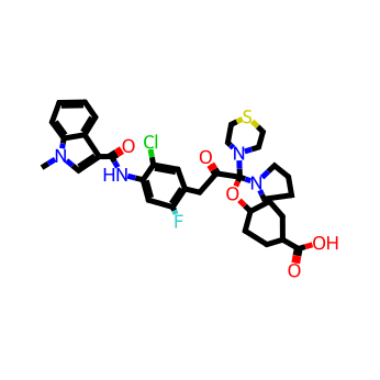 Cn1cc(C(=O)Nc2cc(F)c(CC(=O)C(OC3CCC(C(=O)O)CC3)(N3CCCC3)N3CCSCC3)cc2Cl)c2ccccc21